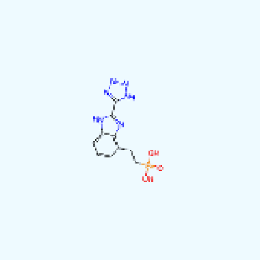 O=P(O)(O)CCc1cccc2[nH]c(-c3nnn[nH]3)nc12